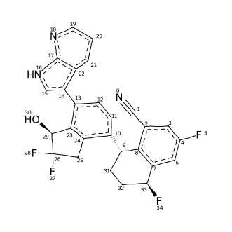 N#Cc1cc(F)cc2c1[C@@H](c1ccc(-c3c[nH]c4ncccc34)c3c1CC(F)(F)[C@H]3O)CC[C@@H]2F